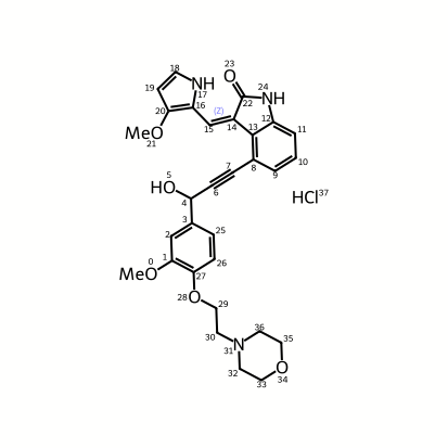 COc1cc(C(O)C#Cc2cccc3c2/C(=C/c2[nH]ccc2OC)C(=O)N3)ccc1OCCN1CCOCC1.Cl